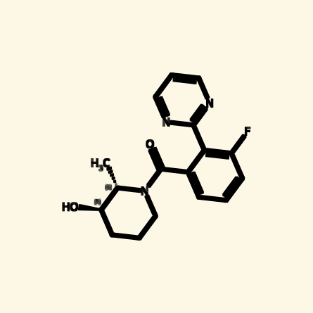 C[C@H]1[C@H](O)CCCN1C(=O)c1cccc(F)c1-c1ncccn1